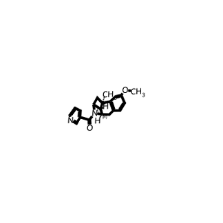 COc1ccc2c(c1)[C@]1(C)CC3[C@H]1[C@@H](C2)N3C(=O)c1cccnc1